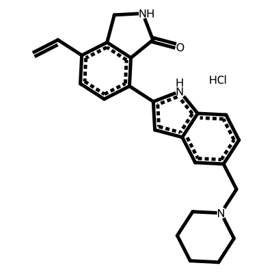 C=Cc1ccc(-c2cc3cc(CN4CCCCC4)ccc3[nH]2)c2c1CNC2=O.Cl